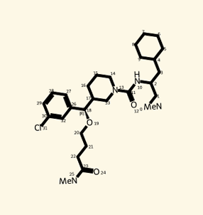 CNCC(CC1CCCCC1)NC(=O)N1CCCC([C@@H](OCCCC(=O)NC)c2cccc(Cl)c2)C1